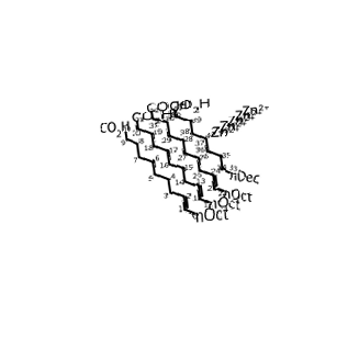 CCCCCCCCC=CCCCCCCCC(=O)O.CCCCCCCCC=CCCCCCCCC(=O)O.CCCCCCCCC=CCCCCCCCC(=O)O.CCCCCCCCCCCCCCCCCC(=O)O.[Zn+2].[Zn+2].[Zn+2].[Zn+2].[Zn+2]